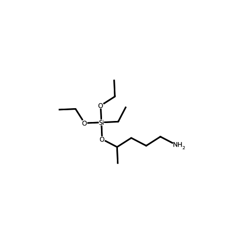 CCO[Si](CC)(OCC)OC(C)CCCN